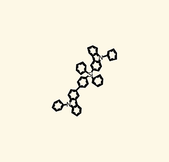 c1ccc(-n2c3ccccc3c3cc(-c4ccc([Si](c5ccccc5)(c5ccccc5)c5ccc6c(c5)c5ccccc5n6-c5ccccc5)cc4)ccc32)cc1